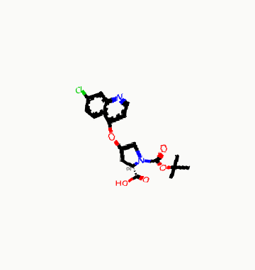 CC(C)(C)OC(=O)N1CC(Oc2ccnc3cc(Cl)ccc23)C[C@H]1C(=O)O